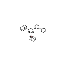 c1ccc(-c2cccc(-c3cc(C4C5CC6CC(C5)CC4C6)nc(N4C5CC6CC(C5)CC4C6)n3)c2)cc1